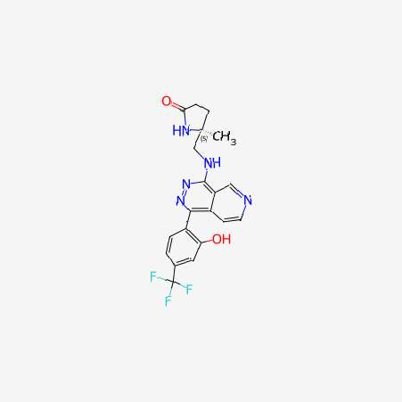 C[C@@]1(CNc2nnc(-c3ccc(C(F)(F)F)cc3O)c3ccncc23)CCC(=O)N1